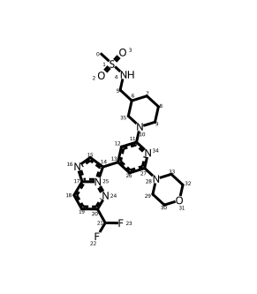 CS(=O)(=O)NCC1CCCN(c2cc(-c3cnc4ccc(C(F)F)nn34)cc(N3CCOCC3)n2)C1